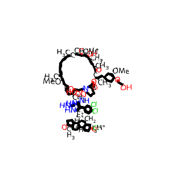 C=C1C[C@@H]2[C@H](CC[C@]3(C)C(=O)CC[C@@H]23)[C@@]2(C)C=CC(=O)C=C12.CCc1[nH]c(=N)[nH]c(=N)c1-c1ccc(Cl)c(Cl)c1.CO[C@H]1C[C@@H]2CC[C@@H](C)[C@@](O)(O2)C(=O)C(=O)N2CCCC[C@H]2C(=O)O[C@H]([C@H](C)C[C@@H]2CC[C@@H](OCCO)[C@H](OC)C2)CC(=O)[C@H](C)/C=C(/C)[C@@H](O)[C@@H](OC)C(=O)[C@H](C)C[C@H](C)\C=C/C=C\C=C/1C.[Cl-].[H+]